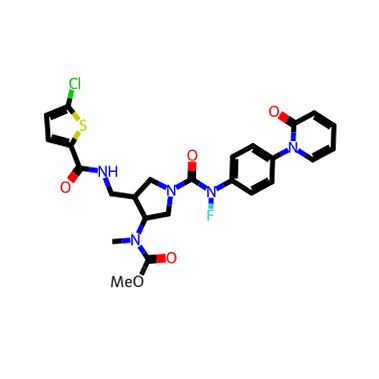 COC(=O)N(C)C1CN(C(=O)N(F)c2ccc(-n3ccccc3=O)cc2)CC1CNC(=O)c1ccc(Cl)s1